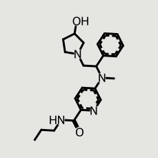 CCCNC(=O)c1ccc(N(C)C(CN2CCC(O)C2)c2ccccc2)cn1